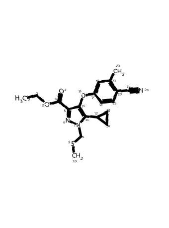 CCOC(=O)c1nn(CSC)c(C2CC2)c1Oc1ccc(C#N)c(C)c1